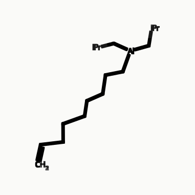 C=CCCCCCC[CH2][Al]([CH2]C(C)C)[CH2]C(C)C